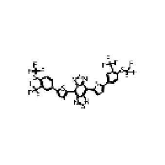 FC(F)(F)Sc1ccc(-c2ccc(-c3c4c(c(-c5ccc(-c6ccc(SC(F)(F)F)c(C(F)(F)F)c6)s5)c5nsnc35)N=S=N4)s2)cc1C(F)(F)F